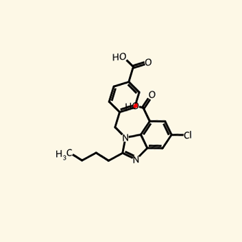 CCCCc1nc2cc(Cl)cc(C(=O)O)c2n1Cc1ccc(C(=O)O)cc1